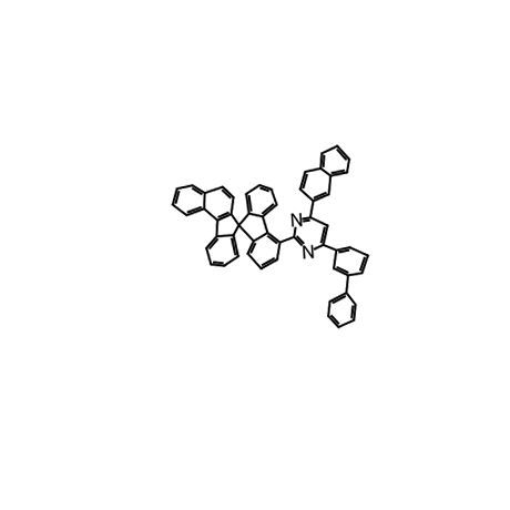 c1ccc(-c2cccc(-c3cc(-c4ccc5ccccc5c4)nc(-c4cccc5c4-c4ccccc4C54c5ccccc5-c5c4ccc4ccccc54)n3)c2)cc1